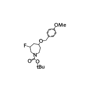 COc1ccc(COC2CCN(C(=O)OC(C)(C)C)CC(F)C2)cc1